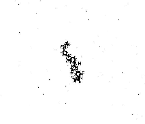 Cc1nc2c(F)cc(-c3nc(Nc4ccc5c(n4)CCN(C4CCN(C(=O)OC(C)(C)C)C4)C5)ncc3F)cc2n1C(C)C